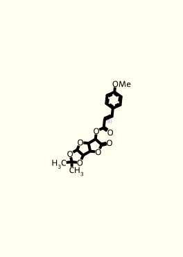 COc1ccc(/C=C/C(=O)OC2C(=O)OC3C4OC(C)(C)OC4OC23)cc1